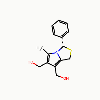 Cc1c(CO)c(CO)c2n1[C@H](c1ccccc1)SC2